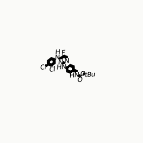 CC(C)(C)OC(=O)NC=C1C=CC(Nc2ncc(F)c(Nc3ccc(Cl)c(Cl)c3)n2)C=C1